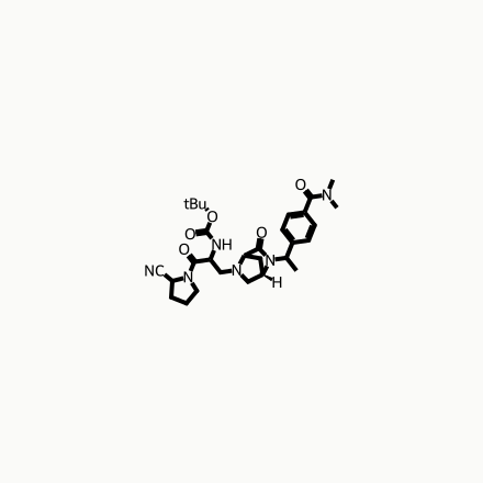 CC(c1ccc(C(=O)N(C)C)cc1)N1C(=O)C2C[C@H]1CN2CC(NC(=O)OC(C)(C)C)C(=O)N1CCCC1C#N